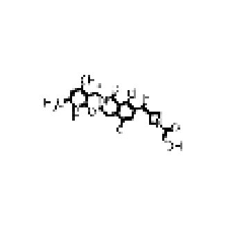 Cc1cc(C)c(CN2CCc3c(Cl)cc(C(F)=C4CN(C(=O)CO)C4)c(Cl)c3C2=O)c(=O)[nH]1